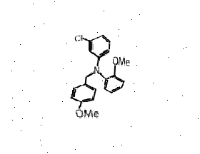 COc1ccc(CN(c2cccc(Cl)c2)c2ccccc2OC)cc1